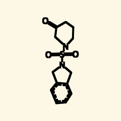 O=C1CCCN(S(=O)(=O)N2Cc3ccccc3C2)C1